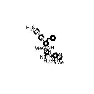 COc1cc(N2CCC(N3CCN(C)CC3)CC2)c(Cc2ccccc2)cc1Nc1ncc(C#N)c(Nc2ccc3nccnc3c2N(C)SC)n1